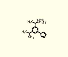 CC(C)c1[c]c(C(C)C)cc(C2C=CC=C2)c1.[Cl][Ti][Cl]